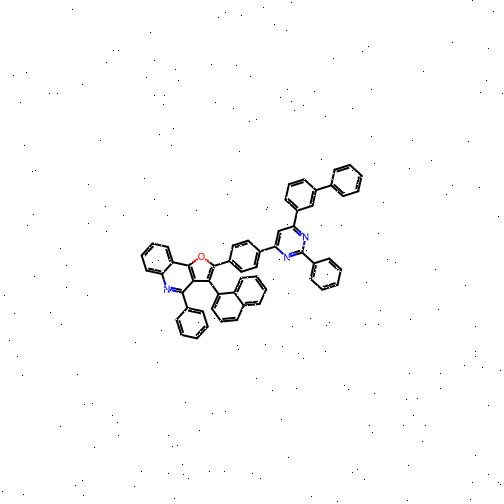 c1ccc(-c2cccc(-c3cc(-c4ccc(-c5oc6c(c(-c7ccccc7)nc7ccccc76)c5-c5cccc6ccccc56)cc4)nc(-c4ccccc4)n3)c2)cc1